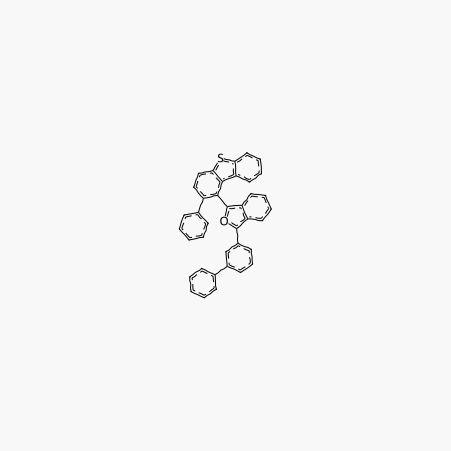 c1ccc(-c2cccc(-c3oc(-c4c(-c5ccccc5)ccc5sc6ccccc6c45)c4ccccc34)c2)cc1